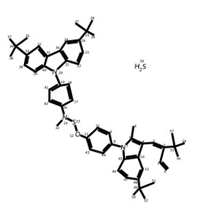 C=C/C(=C\c1c(C)n(-c2ccc(OSN(C)c3ccc(-n4c5ccc(C(C)(C)C)cc5c5cc(C(C)(C)C)ccc54)cc3)cc2)c2ccc(C(C)(C)C)cc12)C(C)(C)C.S